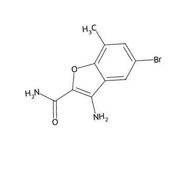 Cc1cc(Br)cc2c(N)c(C(N)=O)oc12